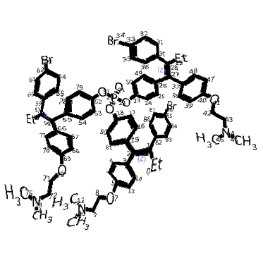 CC/C(=C(\c1ccc(OCCN(C)C)cc1)c1ccc(OP(=O)(Oc2ccc(/C(=C(/CC)c3ccc(Br)cc3)c3ccc(OCCN(C)C)cc3)cc2)Oc2ccc(/C(=C(/CC)c3ccc(Br)cc3)c3ccc(OCCN(C)C)cc3)cc2)cc1)c1ccc(Br)cc1